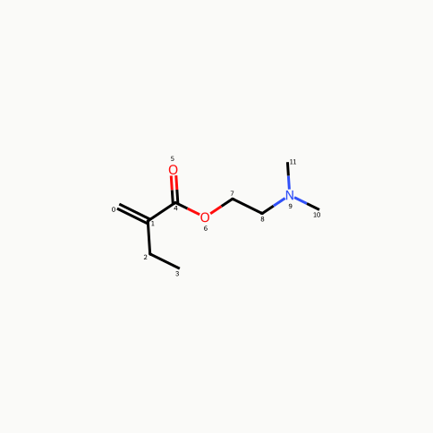 C=C(CC)C(=O)OCCN(C)C